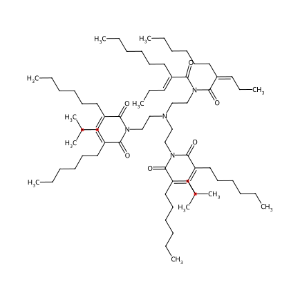 CCC=C(CCCCCC)C(=O)N(CCN(CCN(C(=O)C(=CCC)CCCCCC)C(=O)C(=CCC)CCCCCC)CCN(C(=O)C(=CCC)CCCCCC)C(=O)C(=CCC)CCCCCC)C(=O)C(=CCC)CCCCCC